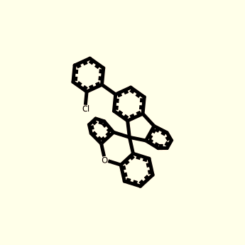 Clc1ccccc1-c1ccc2c(c1)C1(c3ccccc3Oc3ccccc31)c1ccccc1-2